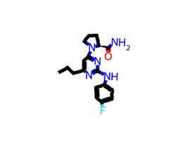 CCCc1cc(N2CCC[C@H]2C(N)=O)nc(Nc2ccc(F)cc2)n1